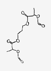 CC(OC=O)C(=O)OCCCOC(=O)C(C)OC=O